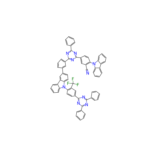 N#Cc1cc(-c2nc(-c3ccccc3)nc(-c3cccc(-c4ccc5c(c4)c4ccccc4n5-c4ccc(-c5nc(-c6ccccc6)nc(-c6ccccc6)n5)cc4C(F)(F)F)c3)n2)ccc1-n1c2ccccc2c2ccccc21